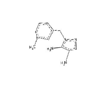 C[n+]1cccc(Cn2ncc(N)c2N)c1